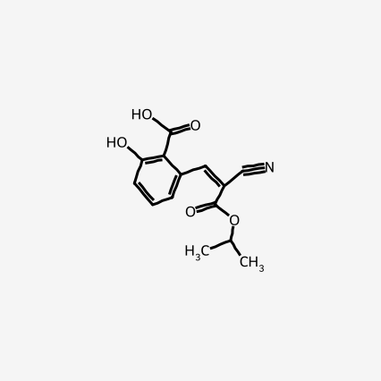 CC(C)OC(=O)C(C#N)=Cc1cccc(O)c1C(=O)O